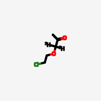 [2H]C([2H])(OCCCl)C(C)=O